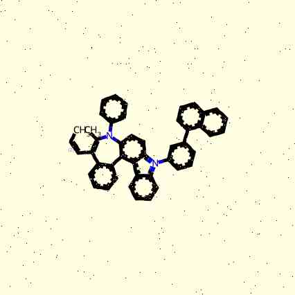 C/C=C\C1=C(C)N(c2ccccc2)c2ccc3c(c2-c2ccccc21)c1ccccc1n3-c1cccc(-c2cccc3ccccc23)c1